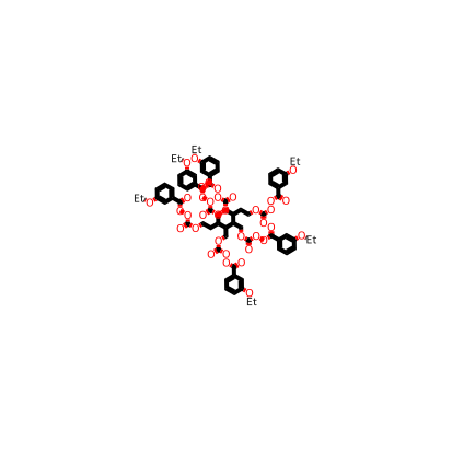 CCOc1cccc(C(=O)OOC(=O)OCCC(COC(=O)OOC(=O)c2cccc(OCC)c2)C(COC(=O)OOC(=O)c2cccc(OCC)c2)C(COC(=O)OOC(=O)c2cccc(OCC)c2)C(CCOC(=O)OOC(=O)c2cccc(OCC)c2)COC(=O)OOC(=O)c2cccc(OCC)c2)c1